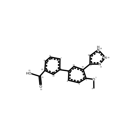 COc1ccc(-c2cccc(C(=O)O)c2)cc1-c1c[nH]nn1